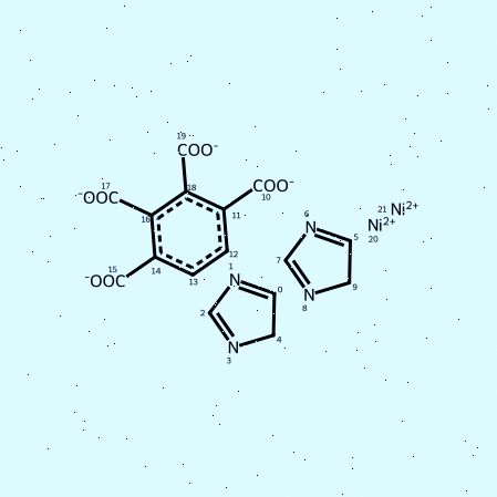 C1=NC=NC1.C1=NC=NC1.O=C([O-])c1ccc(C(=O)[O-])c(C(=O)[O-])c1C(=O)[O-].[Ni+2].[Ni+2]